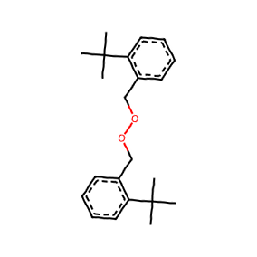 CC(C)(C)c1ccccc1COOCc1ccccc1C(C)(C)C